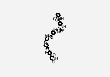 O=C1CCC(c2ccc(N3CC4(CCN(CC5CCN(NC(=O)c6ccc(Nc7ncc(F)c(Nc8ccc(C(=O)Nc9ccccc9Cl)cc8)n7)cc6)CC5)CC4)C3)c(F)c2)C(=O)N1